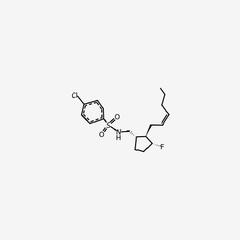 CCC/C=C\C[C@@H]1[C@@H](CNS(=O)(=O)c2ccc(Cl)cc2)CC[C@H]1F